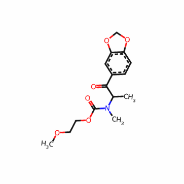 COCCOC(=O)N(C)C(C)C(=O)c1ccc2c(c1)OCO2